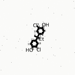 CCC(C)(c1ccc(O)c(Cl)c1)c1ccc(O)c(Cl)c1